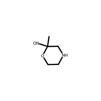 CC1(N=O)CNCCO1